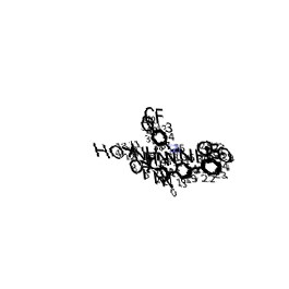 Cn1nc(C(F)(F)C(=O)NC(C)(C)CO)c2c1-c1ccc(-c3cccc(S(C)(=O)=O)c3)cc1N(/C(=C\N)c1ccc(OC(F)(F)F)cc1)N2